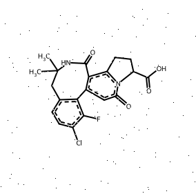 CC1(C)Cc2ccc(Cl)c(F)c2-c2cc(=O)n3c(c2C(=O)N1)CCC3C(=O)O